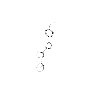 OCc1ccc(-c2ccc(-c3cn(C4CN5CCC4CC5)nn3)o2)cc1